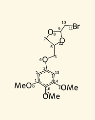 COc1cc(OCC2COC(CBr)O2)cc(OC)c1OC